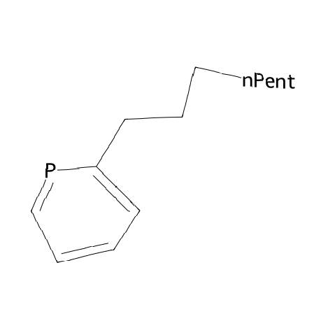 CCCCCCCCc1ccccp1